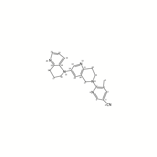 Cc1cc(C#N)cnc1N1CCc2ncc(N3CCCc4ncccc43)cc2C1